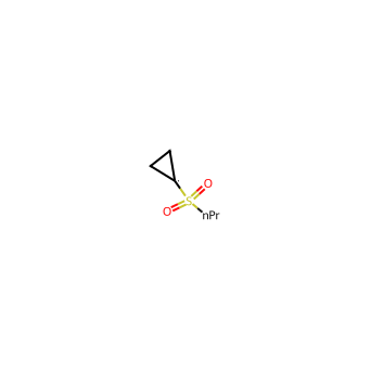 CCCS(=O)(=O)[C]1CC1